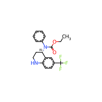 CCOC(=O)N(c1ccccc1)[C@H]1CCNc2ccc(C(F)(F)F)cc21